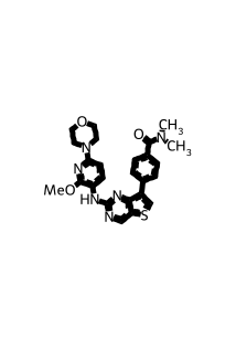 COc1nc(N2CCOCC2)ccc1Nc1ncc2scc(-c3ccc(C(=O)N(C)C)cc3)c2n1